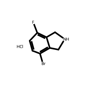 Cl.Fc1ccc(Br)c2c1CNC2